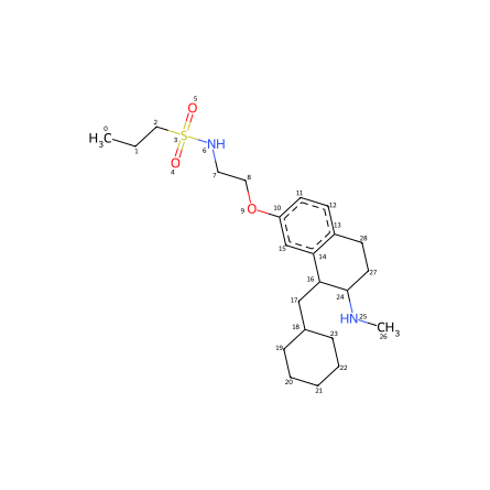 CCCS(=O)(=O)NCCOc1ccc2c(c1)C(CC1CCCCC1)C(NC)CC2